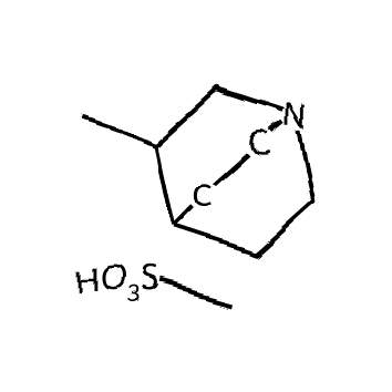 CC1CN2CCC1CC2.CS(=O)(=O)O